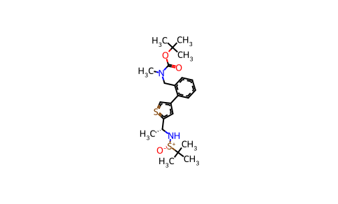 C[C@@H](N[S@+]([O-])C(C)(C)C)c1cc(-c2ccccc2CN(C)C(=O)OC(C)(C)C)cs1